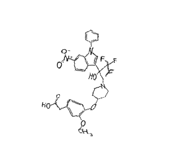 COc1cc(CC(=O)O)ccc1OC1CCN(CC(O)(c2cn(-c3ccccc3)c3cc([N+](=O)[O-])ccc23)C(F)(F)F)CC1